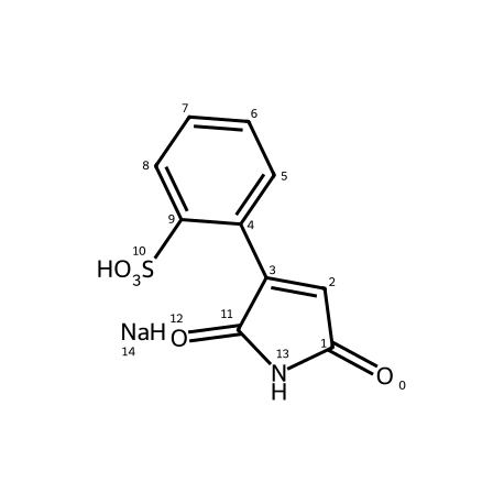 O=C1C=C(c2ccccc2S(=O)(=O)O)C(=O)N1.[NaH]